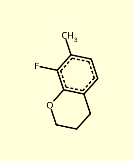 Cc1ccc2c(c1F)OCCC2